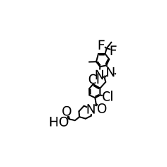 Cc1cc(C(C)(F)F)cc2c1nc(Cc1c(Cl)ccc(C(=O)N3CCC(CC(=O)O)CC3)c1Cl)n2C